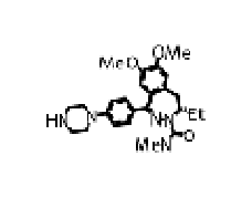 CC[C@H]1Cc2cc(OC)c(OC)cc2C(c2ccc(N3CCNCC3)cc2)=NN1C(=O)NC